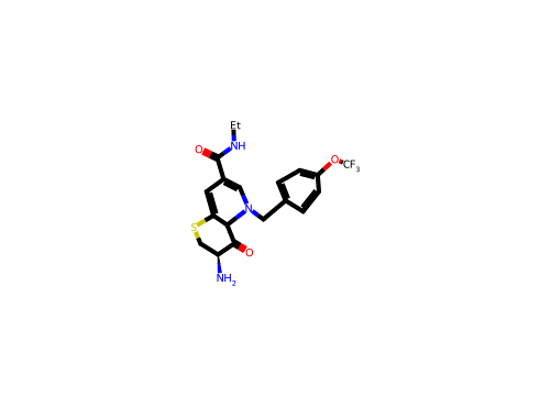 CCNC(=O)C1=CN(Cc2ccc(OC(F)(F)F)cc2)C2C(=O)[C@@H](N)CSC2=C1